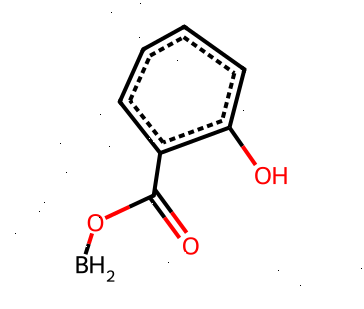 BOC(=O)c1ccccc1O